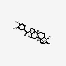 CN1C(=O)C=C[C@@]2(C)C1CC[C@@H]1[C@H]2CC[C@]2(C)C(C(=O)c3ccc(O)c(O)c3)CC[C@@H]12